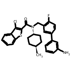 C[C@H]1CC[C@H](N(Cc2cc(-c3cccc(N)c3)ccc2F)C(=O)c2sc3ccccc3c2Cl)CC1